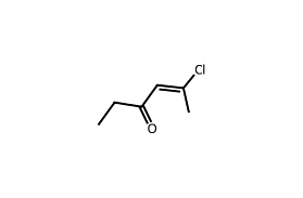 CCC(=O)/C=C(\C)Cl